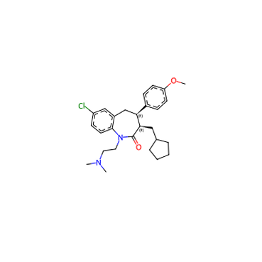 COc1ccc([C@@H]2Cc3cc(Cl)ccc3N(CCN(C)C)C(=O)[C@@H]2CC2CCCC2)cc1